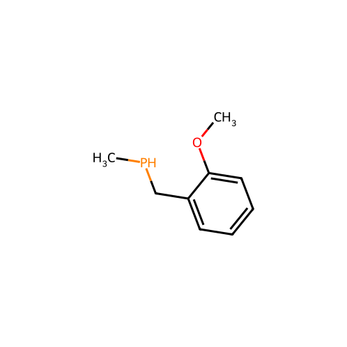 COc1ccccc1CPC